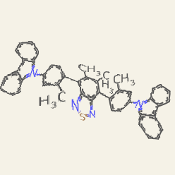 Cc1cc(-n2c3ccccc3c3ccccc32)ccc1-c1c(C)c(C)c(-c2ccc(-n3c4ccccc4c4ccccc43)cc2C)c2nsnc12